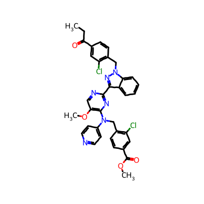 CCC(=O)c1ccc(Cn2nc(-c3ncc(OC)c(N(Cc4ccc(C(=O)OC)cc4Cl)c4ccncc4)n3)c3ccccc32)c(Cl)c1